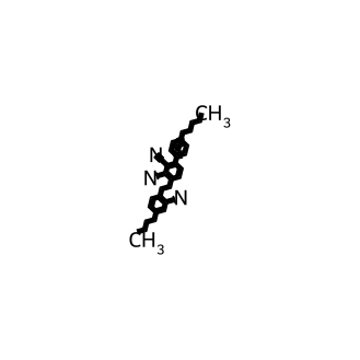 CCCCCc1ccc(CCc2ccc(C34CCC(CCCCC)(CC3)CC4)c(C#N)c2C#N)c(C#N)c1